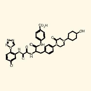 O=C(Nc1cc(Cl)ccc1-n1cnnn1)C(=O)NC(Cc1ccc(N2CCN(C3CCC(O)CC3)CC2=O)cc1)C(=O)Nc1ccc(C(=O)O)cc1